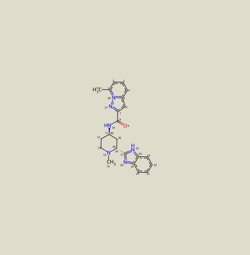 Cc1cccc2cc(C(=O)N[C@@H]3CCN(C)[C@@H](c4nc5ccccc5[nH]4)C3)nn12